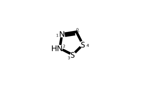 [C]1=NNSS1